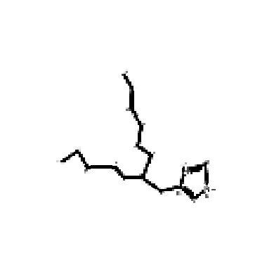 CCCCCCC(CCCCC)Cc1c[nH]cn1